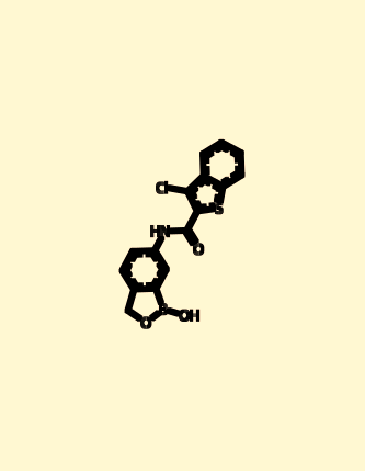 O=C(Nc1ccc2c(c1)B(O)OC2)c1sc2ccccc2c1Cl